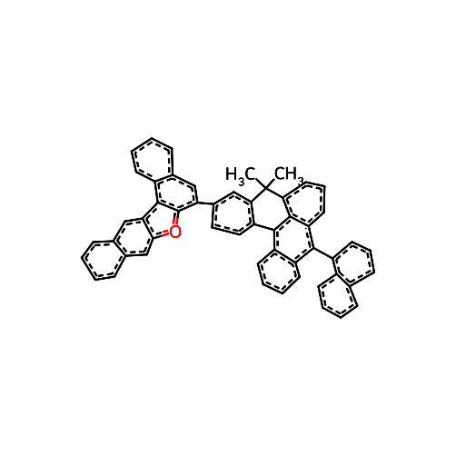 CC1(C)c2cc(-c3cc4ccccc4c4c3oc3cc5ccccc5cc34)ccc2-c2c3ccccc3c(-c3cccc4ccccc34)c3cccc1c23